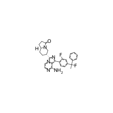 CC(F)(c1ccccc1)c1ccc(-c2nc([C@@H]3CC[C@H]4CCC(=O)N4C3)n3ccnc(N)c23)c(F)c1